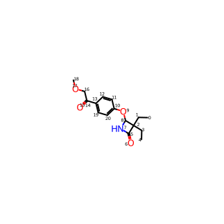 CCC1(CC)C(=O)NC1Oc1ccc(C(=O)COC)cc1